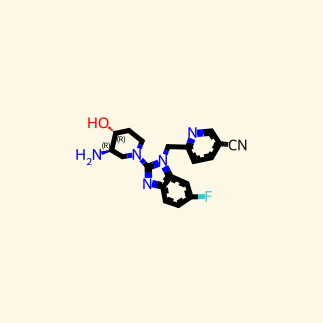 N#Cc1ccc(Cn2c(N3CC[C@@H](O)[C@H](N)C3)nc3ccc(F)cc32)nc1